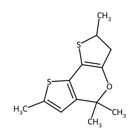 Cc1cc2c(s1)C1=C(CC(C)S1)OC2(C)C